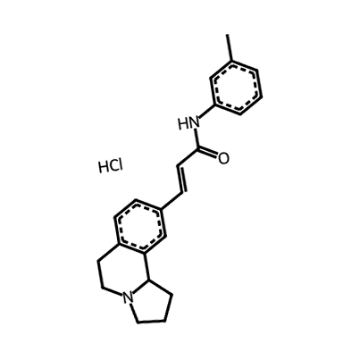 Cc1cccc(NC(=O)/C=C/c2ccc3c(c2)C2CCCN2CC3)c1.Cl